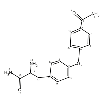 NC(=O)c1ccc(Oc2ccc(CC(N)C(N)=O)cc2)cc1